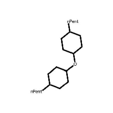 CCCCCC1CCC(OC2CCC(CCCCC)CC2)CC1